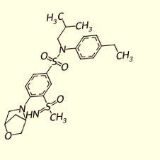 CCc1ccc(N(CC(C)C)S(=O)(=O)c2ccc(N3CC4CC3CO4)c(S(C)(=N)=O)c2)cc1